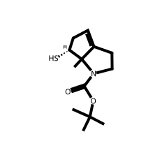 CC(C)(C)OC(=O)N1CCC2=CC[C@@H](S)C21C